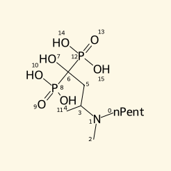 CCCCCN(C)C(C)CC(O)(P(=O)(O)O)P(=O)(O)O